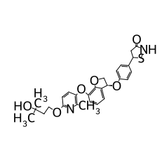 Cc1nc(OCCC(C)(C)O)ccc1Oc1cccc2c1OC[C@H]2Oc1ccc(C2CC(=O)NS2)cc1